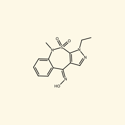 CCn1ncc2c1S(=O)(=O)N(C)c1ccccc1C2=NO